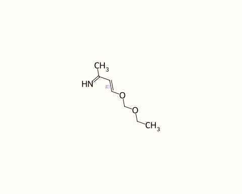 CCOCO/C=C/C(C)=N